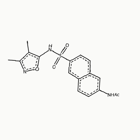 CC(=O)Nc1ccc2cc(S(=O)(=O)Nc3onc(C)c3C)ccc2c1